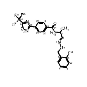 CC(C=NOCc1ccccc1F)NC(=O)c1ccc(-c2noc(C(F)(F)F)n2)cc1